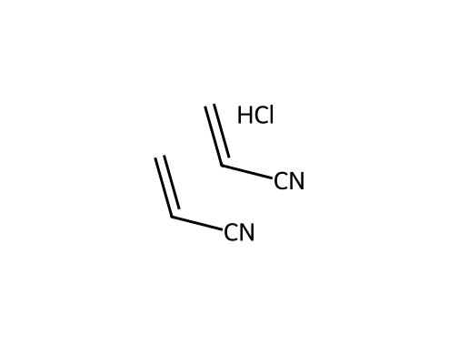 C=CC#N.C=CC#N.Cl